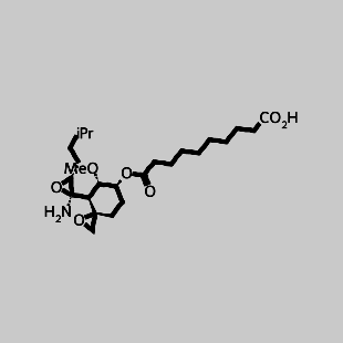 CO[C@@H]1[C@H](OC(=O)CCCCCCCCC(=O)O)CC[C@]2(CO2)[C@H]1[C@@]1(N)O[C@@H]1CCC(C)C